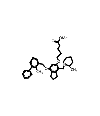 COC(=O)CCCCOc1cc(OCc2cccc(-c3ccccc3)c2C)c2c(c1CN1CCCC[C@H]1C)CCC2